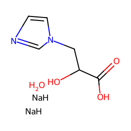 O.O=C(O)C(O)Cn1ccnc1.[NaH].[NaH]